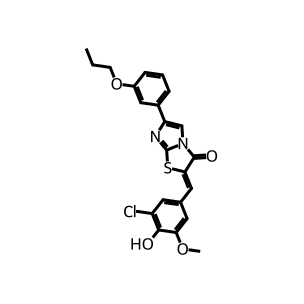 CCCOc1cccc(-c2cn3c(=O)/c(=C/c4cc(Cl)c(O)c(OC)c4)sc3n2)c1